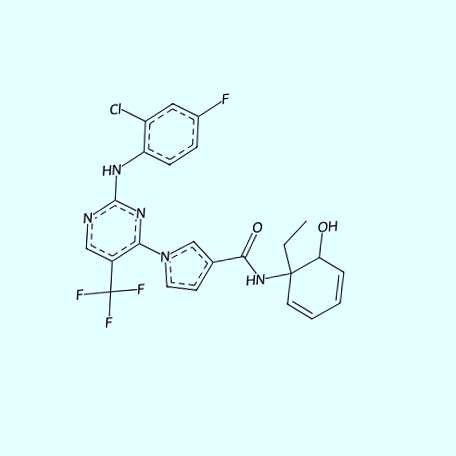 CCC1(NC(=O)c2ccn(-c3nc(Nc4ccc(F)cc4Cl)ncc3C(F)(F)F)c2)C=CC=CC1O